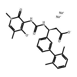 Cc1cn(C)c(=O)c(NC(=O)N[C@@H](CC(=O)[O-])c2cccc(-c3c(C)cccc3C)c2)c1[O-].[Na+].[Na+]